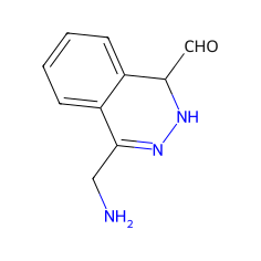 NCC1=NNC(C=O)c2ccccc21